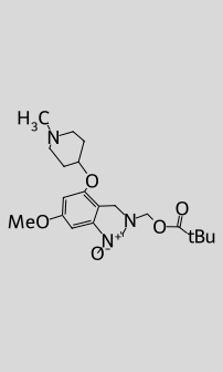 COc1cc(OC2CCN(C)CC2)c2c(c1)[N+]([O-])=CN(COC(=O)C(C)(C)C)C2